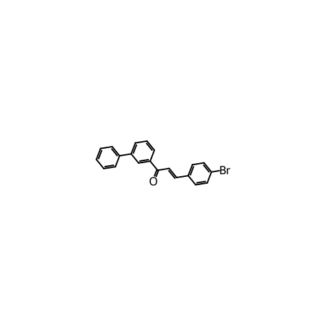 O=C(/C=C/c1ccc(Br)cc1)c1cccc(-c2ccccc2)c1